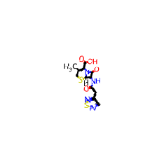 CC1=C(C(=O)O)N2C(=O)C(NC(=O)Cc3cnsn3)[C@@H]2SC1